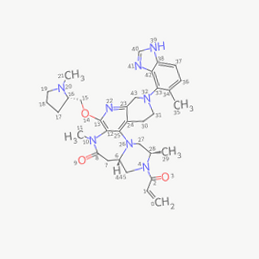 C=CC(=O)N1C[C@@H]2CC(=O)N(C)c3c(OC[C@@H]4CCCN4C)nc4c(c3N2C[C@H]1C)CCN(c1c(C)ccc2[nH]cnc12)C4